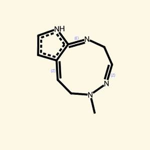 CN1C/C=c2/cc[nH]/c2=N/C/C=N\1